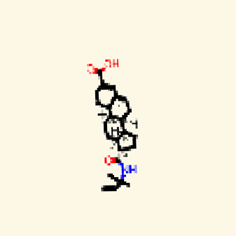 C=CC(C)(C)NC(=O)[C@H]1CC[C@H]2[C@@H]3CC=C4C=C(C(=O)O)CC[C@]4(C)[C@H]3CC[C@]12C